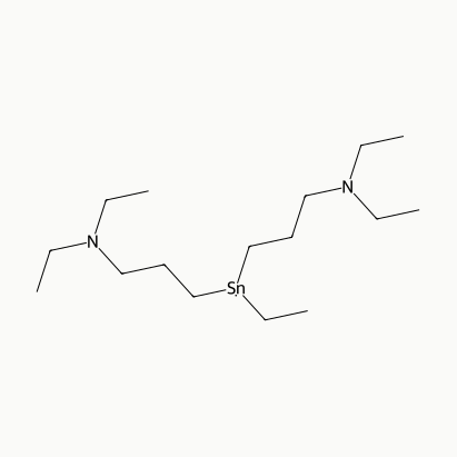 CCN(CC)CC[CH2][Sn]([CH2]C)[CH2]CCN(CC)CC